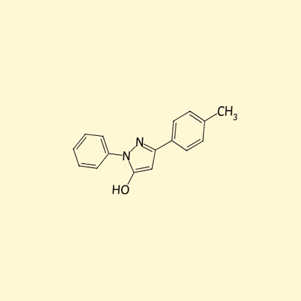 Cc1ccc(-c2cc(O)n(-c3ccccc3)n2)cc1